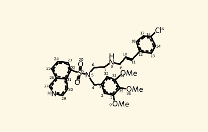 COc1cc(CN(CCNCC=Cc2ccc(Cl)cc2)S(=O)(=O)c2cccc3cnccc23)cc(OC)c1OC